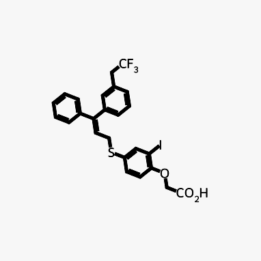 O=C(O)COc1ccc(SCC=C(c2ccccc2)c2cccc(CC(F)(F)F)c2)cc1I